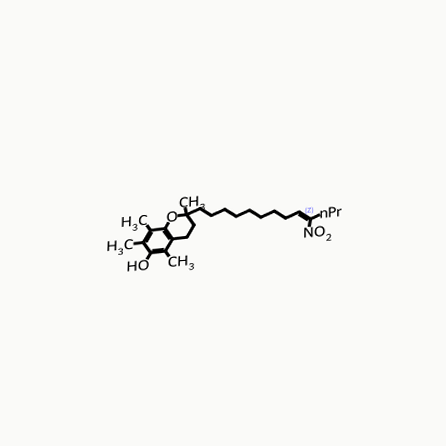 CCC/C(=C/CCCCCCCCC1(C)CCc2c(C)c(O)c(C)c(C)c2O1)[N+](=O)[O-]